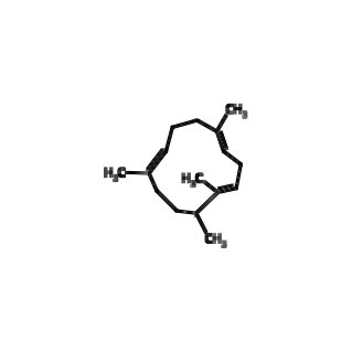 C[C]1CC/C(C)=C/CC/C(C)=C/C/C=C/1C